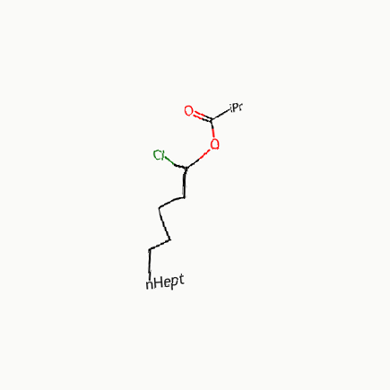 CCCCCCCCCCCC(Cl)OC(=O)C(C)C